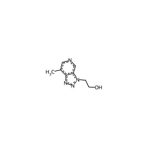 Cc1cncc2c1nnn2CCO